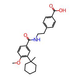 COc1ccc(C(=O)NCCc2ccc(C(=O)O)cc2)cc1C1(C)CCCCC1